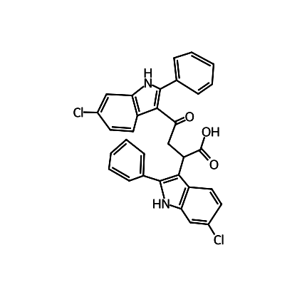 O=C(CC(C(=O)O)c1c(-c2ccccc2)[nH]c2cc(Cl)ccc12)c1c(-c2ccccc2)[nH]c2cc(Cl)ccc12